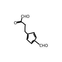 O=CC(=O)CCc1ccc(C=O)cc1